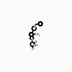 Cc1c(C2CCN(Cc3ccccc3)CC2)ccc2c1CN(C1CCC(=O)NC1=O)C2